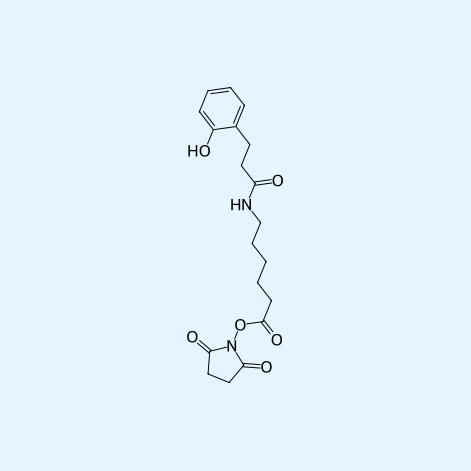 O=C(CCc1ccccc1O)NCCCCCC(=O)ON1C(=O)CCC1=O